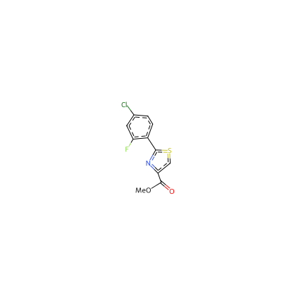 COC(=O)c1csc(-c2ccc(Cl)cc2F)n1